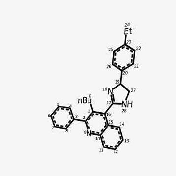 CCCCc1c(-c2ccccc2)nc2ccccc2c1C1=NC(c2ccc(CC)cc2)CN1